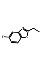 [CH2]Cc1nc2cc(F)ccc2s1